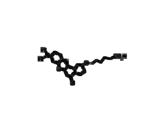 CCN(CC)c1ccc2nc3c4cc(OCCCCCC(=O)O)ccc4c(=O)cc-3oc2c1